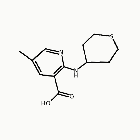 Cc1cnc(NC2CCSCC2)c(C(=O)O)c1